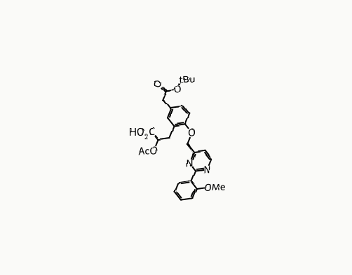 COc1ccccc1-c1nccc(COc2ccc(CC(=O)OC(C)(C)C)cc2CC(OC(C)=O)C(=O)O)n1